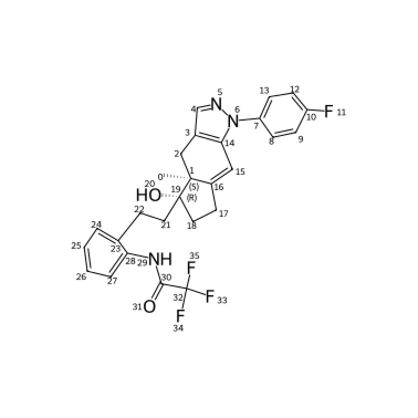 C[C@]12Cc3cnn(-c4ccc(F)cc4)c3C=C1CC[C@@]2(O)CCc1ccccc1NC(=O)C(F)(F)F